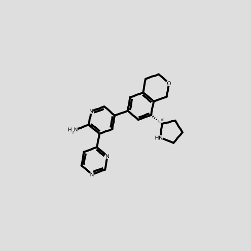 Nc1ncc(-c2cc3c(c([C@@H]4CCCN4)c2)COCC3)cc1-c1ccncn1